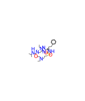 CCN(CC)CCCS(=O)(=O)N[C@H](CCc1ccccc1)c1nc(CN(C)C(=O)NC(C)C)n(CC)n1